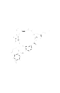 COCC(=O)N[S@]1(=O)=NC(=O)c2ccc3c(c2)N(CC24C[C@@H]2[C@@H]4[C@@H](OC)/C=C/CCC1)C[C@@]1(CCCc2cc(Cl)ccc21)CO3